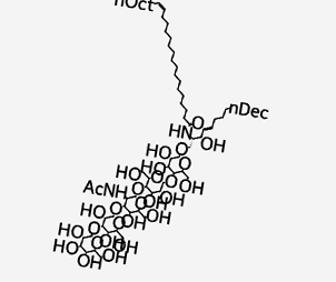 CCCCCCCC/C=C\CCCCCCCCCCCCCCCC(=O)N[C@@H](CO[C@@H]1OC(CO)[C@@H](O[C@@H]2OC(CO)[C@H](O[C@@H]3OC(CO)[C@H](O)[C@H](O[C@@H]4OC(CO)[C@H](O)[C@H](O[C@H]5OC(CO)[C@H](O)[C@H](O)C5O)C4O)C3NC(C)=O)[C@H](O)C2O)[C@H](O)C1O)[C@H](O)/C=C/CCCCCCCCCCCCC